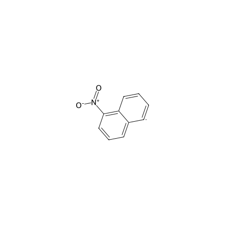 O=[N+]([O-])c1cccc2[c]cccc12